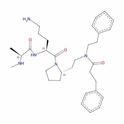 CN[C@@H](C)C(=O)N[C@@H](CCCN)C(=O)N1CCC[C@H]1CCN(CCc1ccccc1)C(=O)CCc1ccccc1